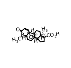 CN1C(=O)C=C[C@]2(C)[C@H]3CC[C@]4(C)[C@@H](C(=O)O)CC[C@H]4[C@@H]3CC[C@@H]12